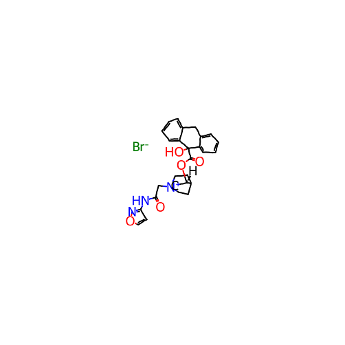 O=C(C[N+]12CCC(CC1)[C@@H](OC(=O)C1(O)c3ccccc3Cc3ccccc31)C2)Nc1ccon1.[Br-]